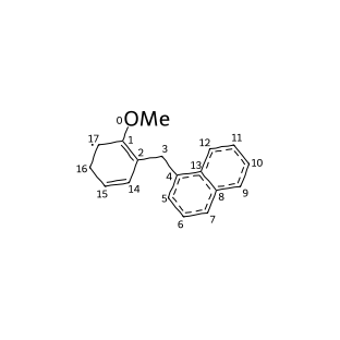 COC1=C(Cc2cccc3ccccc23)C=CC[CH]1